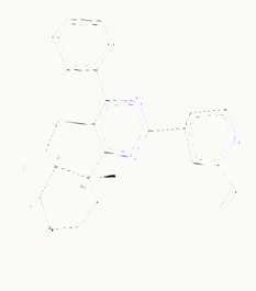 C=Cc1cc(-c2nc(-c3ccccc3F)c3c(n2)[C@]2(C)CCC(=O)[C@H](C)[C@H]2CC3)ccn1